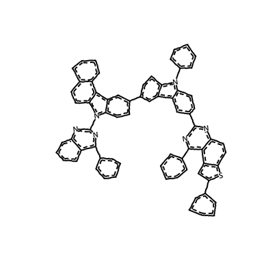 c1ccc(-c2cc3c(ccc4nc(-c5ccc6c(c5)c5cc(-c7ccc8c(c7)c7c9ccccc9ccc7n8-c7nc(-c8ccccc8)c8ccccc8n7)ccc5n6-c5ccccc5)nc(-c5ccccc5)c43)s2)cc1